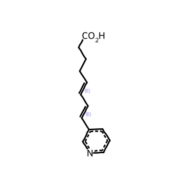 O=C(O)CCC/C=C/C=C/c1cccnc1